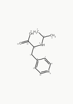 CC(C)NC(Cc1ccncc1)C(=O)O